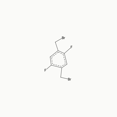 Fc1cc(CBr)c(F)cc1CBr